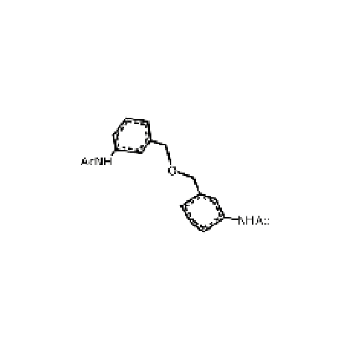 CC(=O)Nc1cccc(COCc2cccc(NC(C)=O)c2)c1